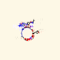 CO[C@H]1C[C@@H]2CC[C@@H](C)[C@@](O)(O2)C(=O)C(=O)N2CCCC[C@H]2C(=O)O[C@H]([C@@H](C)C[C@@H]2CC[C@@H](O)[C@H](OC)C2)CC(=O)[C@H](C)/C=C(\C)[C@@H](O)[C@@H](OC)C(=O)[C@H](C)C[C@H](C)/C=C/C=C/C=C/1C.Nc1nc(=O)c2c([nH]1)NC[C@@H](CNc1ccc(C(=O)N[C@H](CCC(=O)O)C(=O)O)cc1)N2C=O